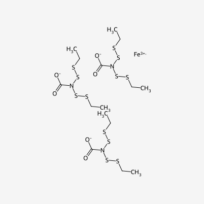 CCSSN(SSCC)C(=O)[O-].CCSSN(SSCC)C(=O)[O-].CCSSN(SSCC)C(=O)[O-].[Fe+3]